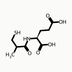 CC(CS)C(=O)N[C@@H](CCC(=O)O)C(=O)O